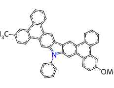 COc1ccc2c(c1)c1ccccc1c1cc3c4cc5c6ccccc6c6cc(C)ccc6c5cc4n(-c4ccccc4)c3cc21